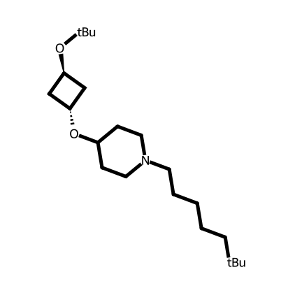 CC(C)(C)CCCCCN1CCC(O[C@H]2C[C@H](OC(C)(C)C)C2)CC1